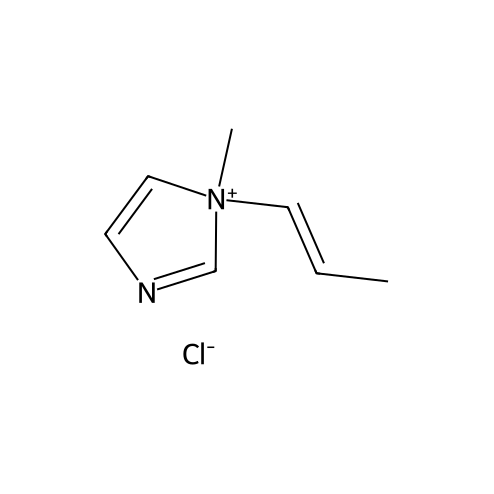 CC=C[N+]1(C)C=CN=C1.[Cl-]